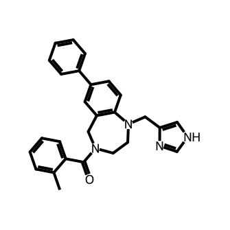 Cc1ccccc1C(=O)N1CCN(Cc2c[nH]cn2)c2ccc(-c3ccccc3)cc2C1